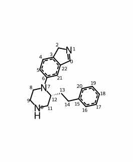 C1=NCc2ccc(N3CCNC[C@H]3CCc3ccccc3)cc21